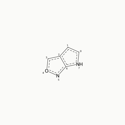 c1cc2conc2[nH]1